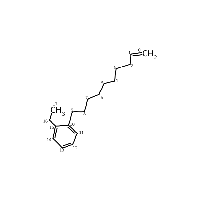 C=CCCCCCCCCc1ccccc1CC